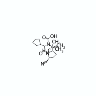 C=C[C@H]1CC[C@@H](C#N)N1C(=O)[C@H](C1CCCC1)N(C(=O)O)C(C)(C)C